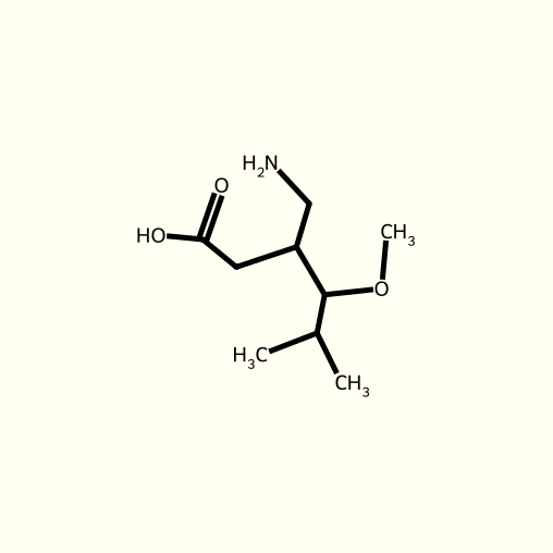 COC(C(C)C)C(CN)CC(=O)O